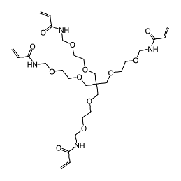 C=CC(=O)NCOCCOCC(COCCOCNC(=O)C=C)(COCCOCNC(=O)C=C)COCCOCNC(=O)C=C